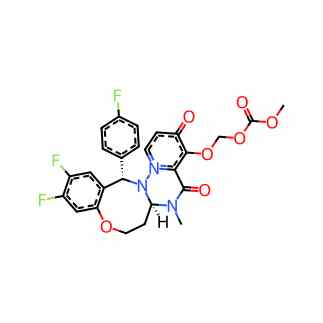 COC(=O)OCOc1c2n(ccc1=O)N1[C@@H](c3ccc(F)cc3)c3cc(F)c(F)cc3OCC[C@@H]1N(C)C2=O